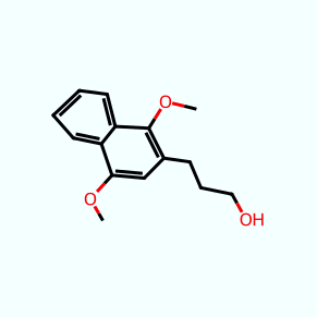 COc1cc(CCCO)c(OC)c2ccccc12